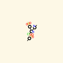 Cc1ccc(S(=O)(=O)Oc2nc(-c3ccc(C)nc3)c(-c3ccc(S(C)(=O)=O)cc3)cc2Cl)cc1